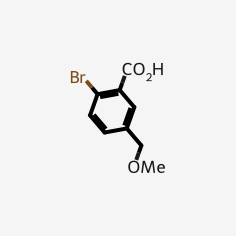 COCc1ccc(Br)c(C(=O)O)c1